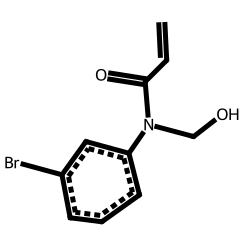 C=CC(=O)N(CO)c1cccc(Br)c1